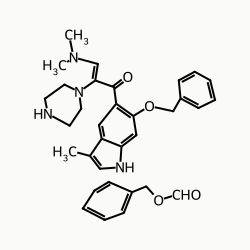 Cc1c[nH]c2cc(OCc3ccccc3)c(C(=O)C(=CN(C)C)N3CCNCC3)cc12.O=COCc1ccccc1